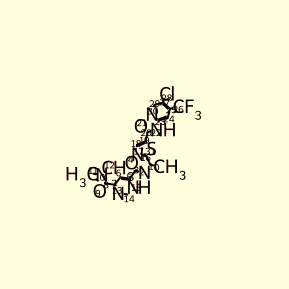 CC(NC(=O)c1cc(C(=O)N(C)C)ncn1)c1ncc(C(=O)Nc2cc(C(F)(F)F)c(Cl)cn2)s1